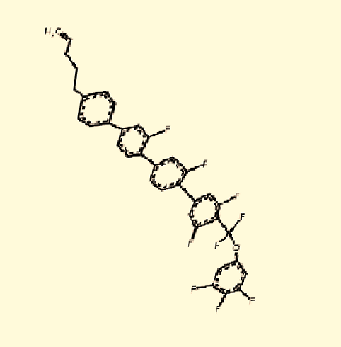 C=CCCCc1ccc(-c2ccc(-c3ccc(-c4cc(F)c(C(F)(F)Oc5cc(F)c(F)c(F)c5)c(F)c4)c(F)c3)c(F)c2)cc1